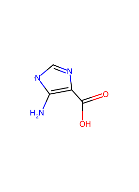 NC1=C(C(=O)O)N=C[N]1